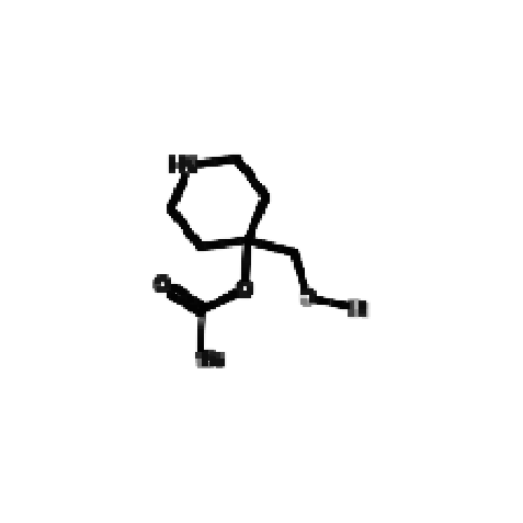 CCOCC1(OC(=O)C(C)(C)C)CCNCC1